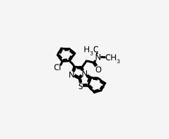 CN(C)C(=O)Cc1c(-c2ccccc2Cl)nc2sc3ccccc3n12